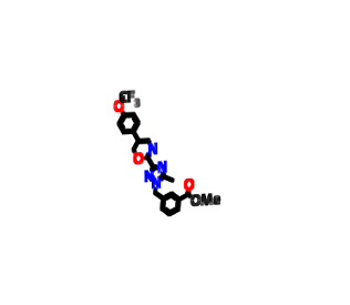 COC(=O)c1cccc(Cn2nc(C3=NC=C(c4ccc(OC(F)(F)F)cc4)CO3)nc2C)c1